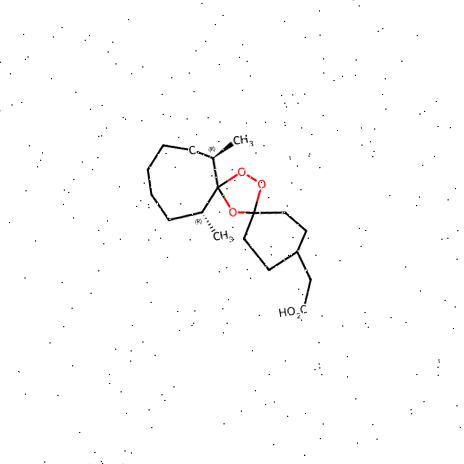 C[C@@H]1CCCCC[C@@H](C)C12OOC1(CCC(CC(=O)O)CC1)O2